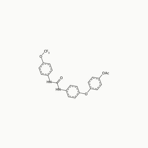 CC(=O)Oc1ccc(Oc2ccc(NC(=O)Nc3ccc(OC(F)(F)F)cc3)cc2)cc1